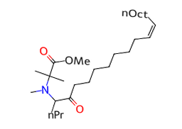 CCCCCCCC/C=C\CCCCCCCC(=O)C(CCC)N(C)C(C)(C)C(=O)OC